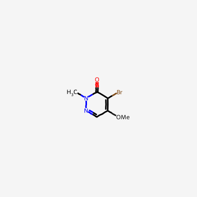 COc1cnn(C)c(=O)c1Br